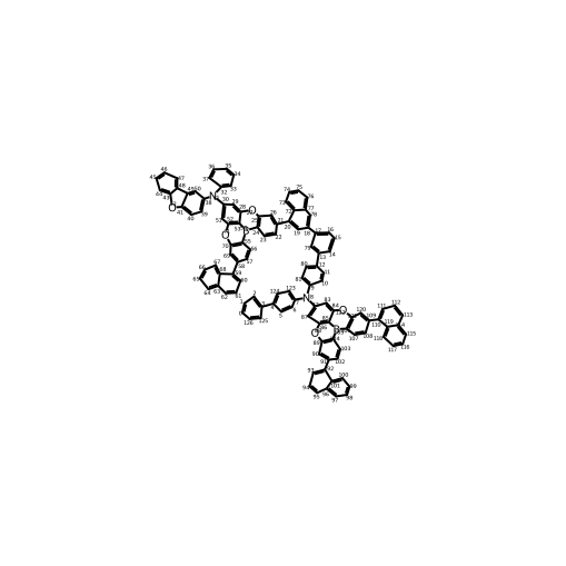 c1ccc(-c2ccc(N(c3ccc(-c4cccc(-c5cc(-c6ccc7c(c6)Oc6cc(N(c8ccccc8)c8ccc9oc%10ccccc%10c9c8)cc8c6B7c6ccc(-c7cccc9ccccc79)cc6O8)c6ccccc6c5)c4)cc3)c3cc4c5c(c3)Oc3cc(-c6cccc7ccccc67)ccc3B5c3ccc(-c5cccc6ccccc56)cc3O4)cc2)cc1